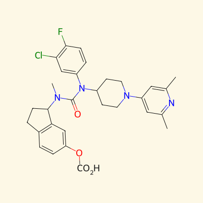 Cc1cc(N2CCC(N(C(=O)N(C)C3CCc4ccc(OC(=O)O)cc43)c3ccc(F)c(Cl)c3)CC2)cc(C)n1